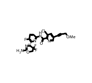 COCC#Cc1cnc(C(=O)Nc2ccc(F)c([C@H]3N=C(N)OCC3(F)F)n2)c(Cl)c1